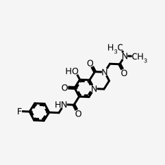 CN(C)C(=O)CN1CCn2cc(C(=O)NCc3ccc(F)cc3)c(=O)c(O)c2C1=O